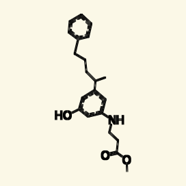 COC(=O)CCNc1cc(O)cc(C(C)CCCc2ccccc2)c1